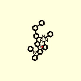 c1ccc(-c2cccc(-c3ccc(-c4ccc5c(c4)oc4ccc6c7ccccc7n(-c7ccccc7)c6c45)c(-c4nc(-c5ccccc5)nc(-c5ccccc5)n4)c3)c2)cc1